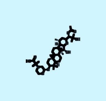 CC(=O)O[C@@H](C1C[C@@H](C)[C@H]2C(O1)[C@H](O)[C@@]1(C)C3CC[C@H]4C(C)(C)[C@@H](O[C@H]5CN(C(C)(C)C(=O)O)CCO5)CC[C@@]45CC35CC[C@]21C)C(C)(C)O